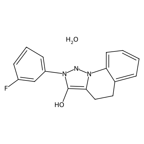 O.OC1=C2CCc3ccccc3N2[N]N1c1cccc(F)c1